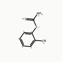 N#Cc1ccccc1SC(N)=S